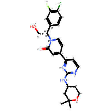 CC1(C)CC(Nc2nccc(-c3ccn([C@H](CO)c4ccc(Cl)c(F)c4)c(=O)c3)n2)CCO1